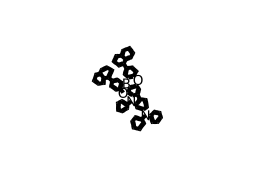 c1ccc(N(c2ccccc2)c2ccc3c4cc5c6c(c4n(-c4ccccc4)c3c2)Oc2ccc(-c3cccc4ccccc34)cc2B6c2cc(-c3cccc4ccccc34)ccc2O5)cc1